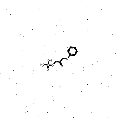 O=C(COc1ccccc1)COP(=O)(O)O